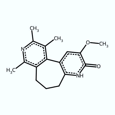 COc1cc2c([nH]c1=O)CCCc1c(C)nc(C)c(C)c1-2